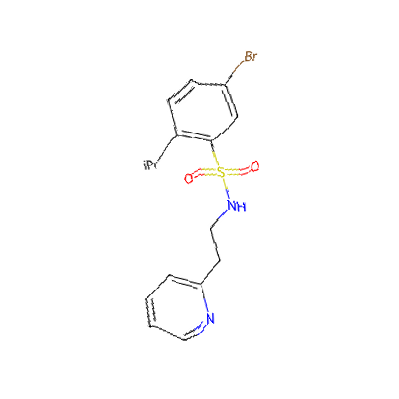 CC(C)c1ccc(Br)cc1S(=O)(=O)NCCc1ccccn1